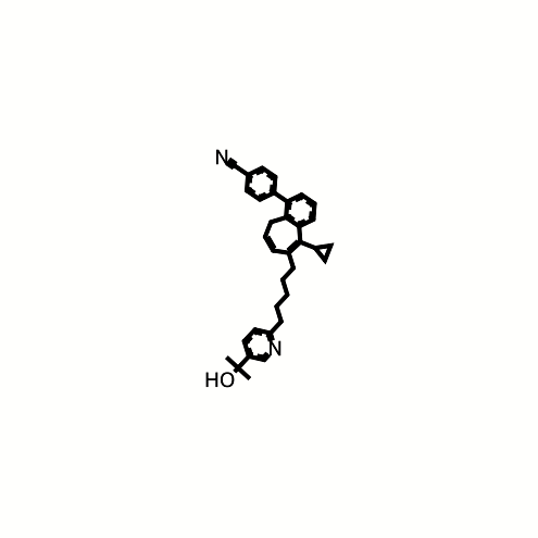 CC(C)(O)c1ccc(CCCCCC2=C(C3CC3)c3cccc(-c4ccc(C#N)cc4)c3CC=C2)nc1